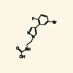 O=C(O)NCCn1cc(-c2cc(Br)ccc2F)cn1